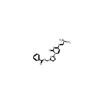 CN(C)/C=N/c1ccn([C@H]2CC[C@@H](COC(=O)c3ccccc3)O2)c(=O)n1